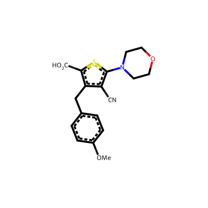 COc1ccc(Cc2c(C(=O)O)sc(N3CCOCC3)c2C#N)cc1